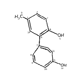 Cc1ccc(O)c(-c2[c]ccc(O)c2)c1